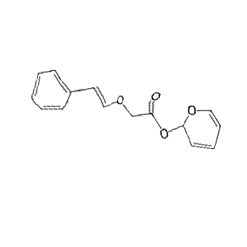 O=C(COC=Cc1ccccc1)OC1C=CC=CO1